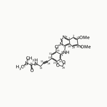 COc1cc2ncnc(Nc3c(Cl)cc(C#CCNC(=O)N(C)C)c4c3OCO4)c2cc1OC